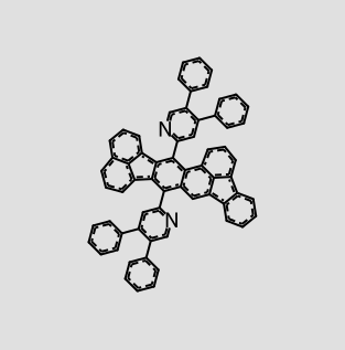 c1ccc(-c2cnc(-c3c4cc5c6ccccc6c6cccc(c4c(-c4cc(-c7ccccc7)c(-c7ccccc7)cn4)c4c7cccc8cccc(c34)c87)c65)cc2-c2ccccc2)cc1